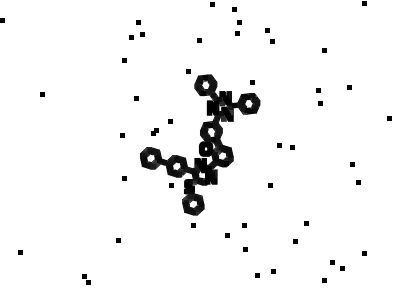 c1ccc(Sc2cnc(-c3cccc4c3oc3ccc(-c5nc(-c6ccccc6)nc(-c6ccccc6)n5)cc34)nc2-c2ccc(-c3ccccc3)cc2)cc1